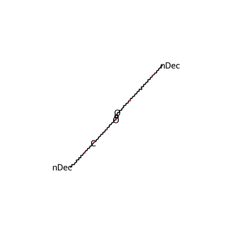 CCCCCCCCCCCCCCCCCCCCCCCCCCCCCCCCCCCCCCCCCCCCCCCCCCOc1ccc(OCCCCCCCCCCCCCCCCCCCCCCCCCCCCCCCCCCCCCCCCCCCCCCCCCC)cc1